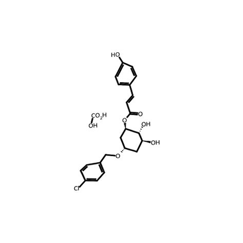 O=C(/C=C/c1ccc(O)cc1)O[C@@H]1C[C@@H](OCc2ccc(Cl)cc2)C[C@H](O)[C@H]1O.O=C(O)O